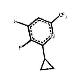 Fc1c(I)cc(C(F)(F)F)nc1C1CC1